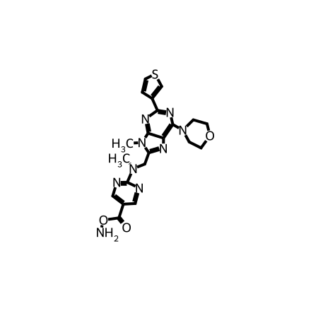 CN(Cc1nc2c(N3CCOCC3)nc(-c3ccsc3)nc2n1C)c1ncc(C(=O)ON)cn1